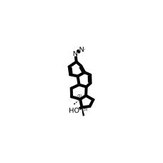 C[C@]1(O)CCC2C3C=CC4=CC(N=[N])C=CC4C3CC[C@@]21C